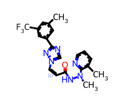 Cc1cc(-c2ncn(/C=C\C(=O)NN(C)c3ncccc3C)n2)cc(C(F)(F)F)c1